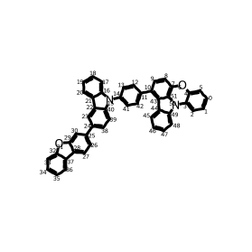 c1ccc2c(c1)Oc1ccc(-c3ccc(-n4c5ccccc5c5cc(-c6ccc7c(c6)oc6ccccc67)ccc54)cc3)c3c4ccccc4n-2c13